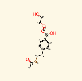 CC(=O)SCCc1ccc(B(O)OOCCO)cc1